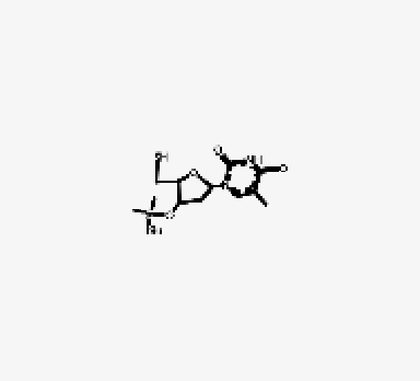 Cc1cn([C@H]2CC(O[Si](C)(C)C(C)(C)C)[C@@H](CS)O2)c(=O)[nH]c1=O